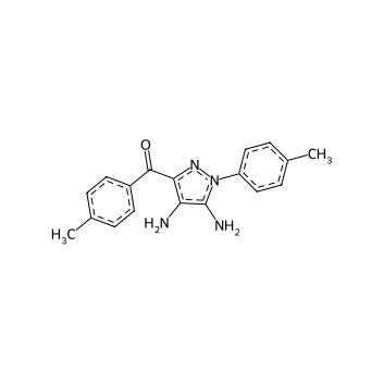 Cc1ccc(C(=O)c2nn(-c3ccc(C)cc3)c(N)c2N)cc1